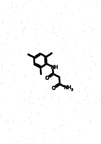 Cc1cc(C)c(NC(=O)CC(N)=O)c(C)c1